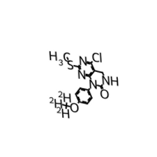 [2H]C([2H])([2H])Oc1ccc(N2C(=O)NCc3c(Cl)nc(SC)nc32)cc1